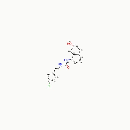 O=C(NCCc1ccc(Cl)cc1)Nc1cccc2c1CC(O)CC2